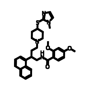 COc1ccc(C(=O)NCC(CCN2CCC(Sc3nccn3C)CC2)c2cccc3ccccc23)c(OC)c1